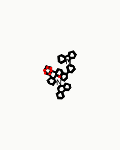 c1ccc(-c2ccccc2-c2c(-c3ccccc3)cccc2N(c2ccc(-c3cccc(-n4c5ccccc5c5ccccc54)c3)cc2)c2cc3ccccc3c3ccccc23)cc1